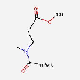 CCCCCC(=O)N(C)CCC(=O)OC(C)(C)C